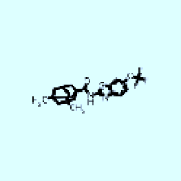 CC12CC3CC(C)(C1)CC(C(=O)Nc1nc4ccc(OC(F)(F)F)cc4s1)(C3)C2